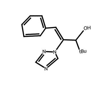 CC(C)(C)C(O)C(=Cc1ccccc1)n1cncn1